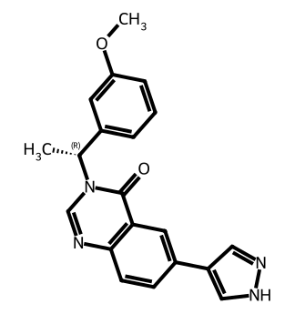 COc1cccc([C@@H](C)n2cnc3ccc(-c4cn[nH]c4)cc3c2=O)c1